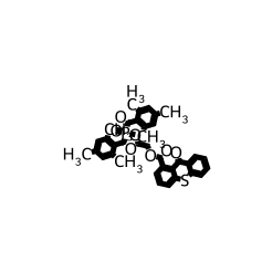 Cc1cc(C)c(C(=O)P(=O)(OCCOC(=O)c2cccc3sc4ccccc4c(=O)c23)C(=O)c2c(C)cc(C)cc2C)c(C)c1